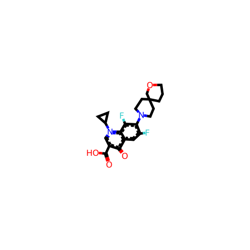 O=C(O)c1cn(C2CC2)c2c(F)c(N3CCC4(CCCOC4)CC3)c(F)cc2c1=O